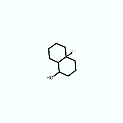 OC1CCC[C@H]2CCCCC12